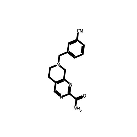 N#Cc1cccc(CN2CCc3[c]nc(C(N)=O)nc3C2)c1